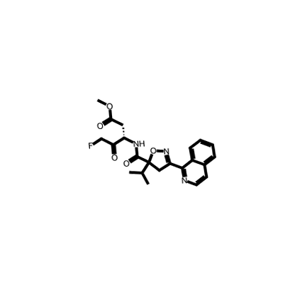 COC(=O)C[C@H](NC(=O)C1(C(C)C)CC(c2nccc3ccccc23)=NO1)C(=O)CF